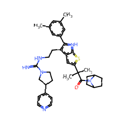 Cc1cc(C)cc(-c2[nH]c3sc(C(C)(C)C(=O)N4C5CCC4CC5)cc3c2CCNC(=N)N2CCC(c3ccncc3)C2)c1